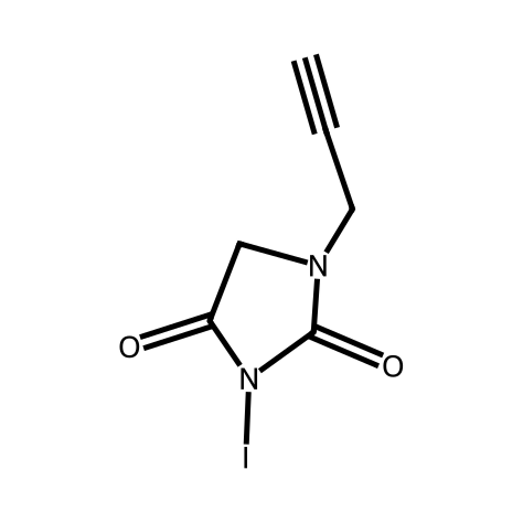 C#CCN1CC(=O)N(I)C1=O